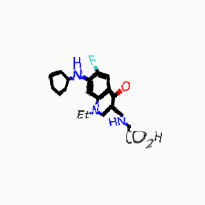 CCn1cc(CNCC(=O)O)c(=O)c2cc(F)c(NC3CCCCC3)cc21